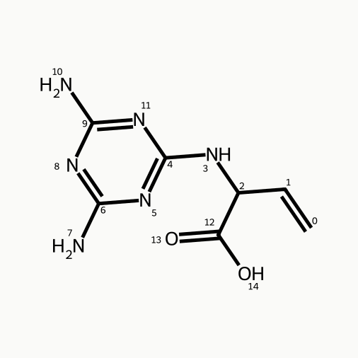 C=CC(Nc1nc(N)nc(N)n1)C(=O)O